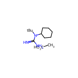 CC(=O)O.CC(C)(C)N(C(=N)N)C1CCCCC1